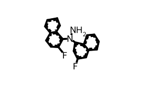 NN(c1cc(F)cc2ccccc12)c1c(F)ccc2ccccc12